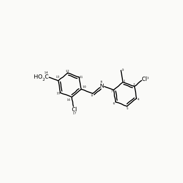 Cc1c(Cl)cccc1N=Cc1ccc(C(=O)O)cc1Cl